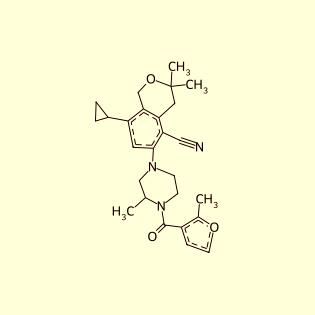 Cc1occc1C(=O)N1CCN(c2cc(C3CC3)c3c(c2C#N)CC(C)(C)OC3)CC1C